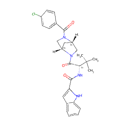 CC(C)(C)[C@H](NC(=O)c1cc2ccccc2[nH]1)C(=O)N1C[C@@H]2C[C@H]1CN2C(=O)c1ccc(Cl)cc1